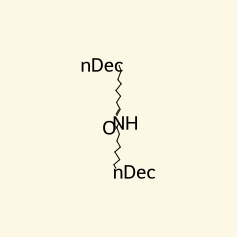 CCCCCCCCCCCCCCCCC=CNC(=O)CCCCCCCCCCCCCCCC